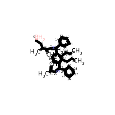 BCCC(C)C(=C)/C=C(/c1ccccc1)c1ccc(/C(=C\C(=C)C)c2ccccc2)c(CCC)c1C(C)CC